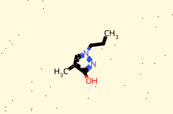 CCCn1cc(C)c(O)n1